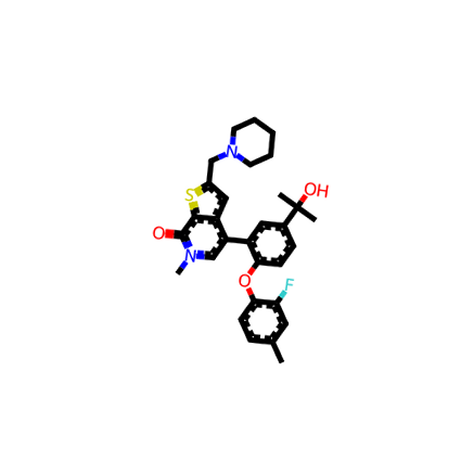 Cc1ccc(Oc2ccc(C(C)(C)O)cc2-c2cn(C)c(=O)c3sc(CN4CCCCC4)cc23)c(F)c1